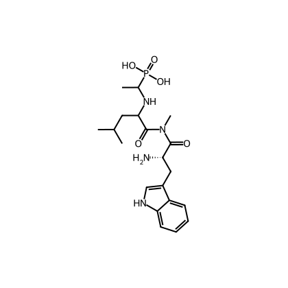 CC(C)CC(NC(C)P(=O)(O)O)C(=O)N(C)C(=O)[C@@H](N)Cc1c[nH]c2ccccc12